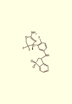 C[C@]1(c2cc(NC3CS(=O)(=O)c4ccccc43)ccc2F)N=C(N)OCC1(F)F